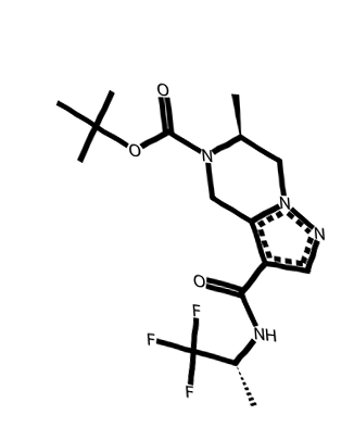 C[C@H]1Cn2ncc(C(=O)N[C@H](C)C(F)(F)F)c2CN1C(=O)OC(C)(C)C